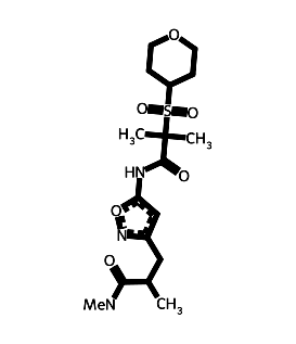 CNC(=O)C(C)Cc1cc(NC(=O)C(C)(C)S(=O)(=O)C2CCOCC2)on1